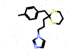 Cc1ccc(CC2(CCCn3ccnc3)SCCCS2)cc1